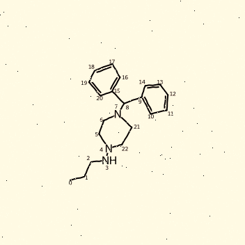 CCCNN1CCN(C(c2ccccc2)c2ccccc2)CC1